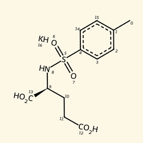 Cc1ccc(S(=O)(=O)N[C@@H](CCC(=O)O)C(=O)O)cc1.[KH]